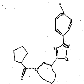 O=C(C1CCCC1)N1CCCC(c2nc(-c3ccc(F)cc3)no2)C1